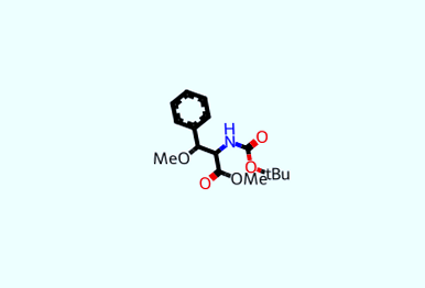 COC(=O)C(NC(=O)OC(C)(C)C)C(OC)c1ccccc1